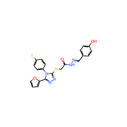 O=C(CSc1nnc(-c2ccco2)n1-c1ccc(F)cc1)NN=Cc1ccc(O)cc1